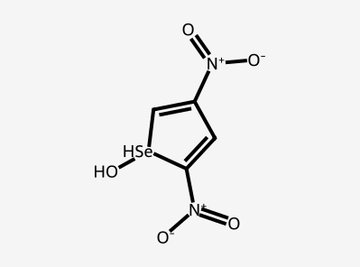 O=[N+]([O-])C1=C[SeH](O)C([N+](=O)[O-])=C1